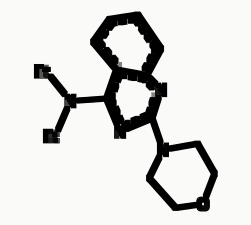 CCN(CC)c1nc(N2CCOCC2)nc2ccccc12